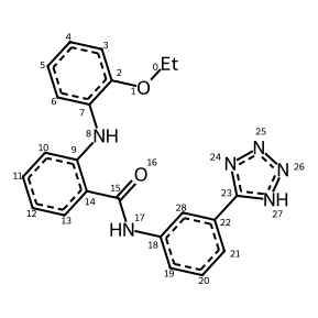 CCOc1ccccc1Nc1ccccc1C(=O)Nc1cccc(-c2nnn[nH]2)c1